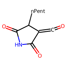 CCCCCC1C(=O)NC(=O)C1=C=O